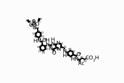 C#COP(=O)(OC#C)OCc1ccc(NC(=O)c2ccccc2Nc2nc(=O)c3nc(CNc4ccc(C(=O)N[C@@H](CCC(=O)O)C(C)=O)cc4)cnc3[nH]2)cc1